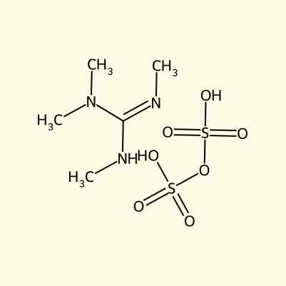 CN=C(NC)N(C)C.O=S(=O)(O)OS(=O)(=O)O